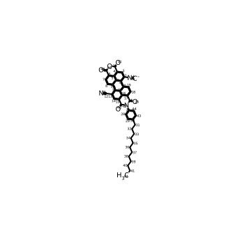 [C-]#[N+]c1cc2c3c(ccc4c5c(C#N)cc6c7c(ccc(c1c34)c75)C(=O)N(c1ccc(CCCCCCCCCCCC)cc1)C6=O)C(=O)OC2=O